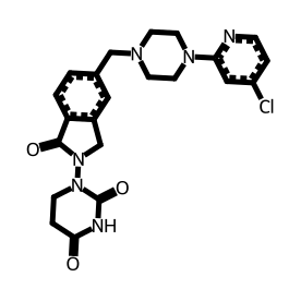 O=C1CCN(N2Cc3cc(CN4CCN(c5cc(Cl)ccn5)CC4)ccc3C2=O)C(=O)N1